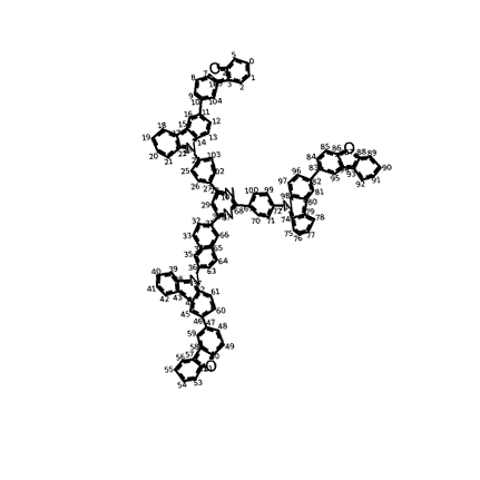 c1ccc2c(c1)oc1ccc(-c3ccc4c(c3)c3ccccc3n4-c3ccc(-c4cc(-c5ccc6cc(-n7c8ccccc8c8cc(-c9ccc%10oc%11ccccc%11c%10c9)ccc87)ccc6c5)nc(-c5ccc(-n6c7ccccc7c7cc(-c8ccc9oc%10ccccc%10c9c8)ccc76)cc5)n4)cc3)cc12